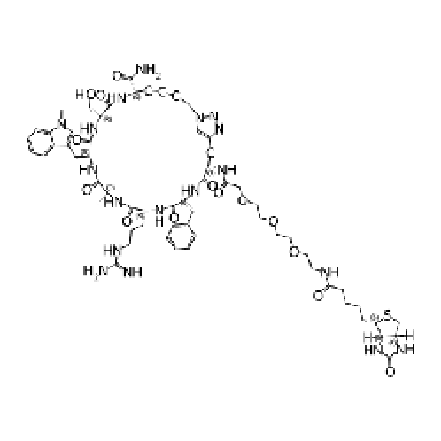 C[C@H]1NC(=O)[C@@H](CCCNC(=N)N)NC(=O)[C@@H](Cc2ccccc2)NC(=O)[C@@H](NC(=O)COCCOCCOCCNC(=O)CCCC[C@@H]2SC[C@@H]3NC(=O)N[C@@H]32)Cc2cn(nn2)CCCC[C@@H](C(N)=O)NC(=O)[C@@H](CO)NC(=O)[C@H](Cc2cn(C)c3ccccc23)NC1=O